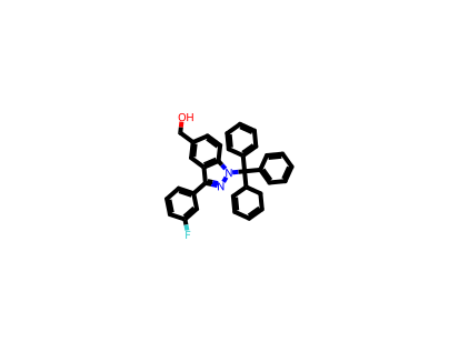 OCc1ccc2c(c1)c(-c1cccc(F)c1)nn2C(c1ccccc1)(c1ccccc1)C1C=CC=CC1